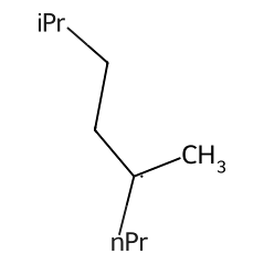 CCC[C](C)CCC(C)C